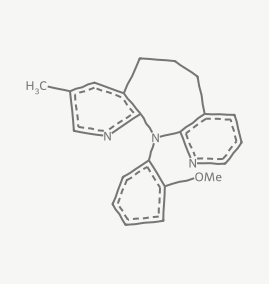 COc1ccccc1N1c2ncccc2CCCc2cc(C)cnc21